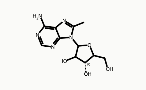 Cc1nc2c(N)ncnc2n1C1OC(CO)[C@H](O)C1O